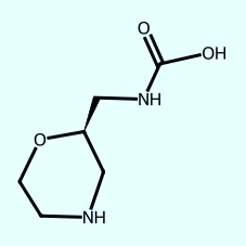 O=C(O)NC[C@H]1CNCCO1